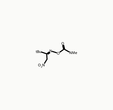 CNC(=O)ON=C(C[N+](=O)[O-])C(C)(C)C